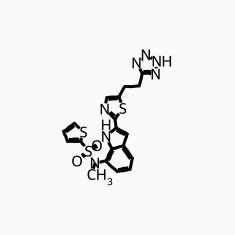 CN(c1cccc2cc(-c3ncc(CCc4nn[nH]n4)s3)[nH]c12)S(=O)(=O)c1cccs1